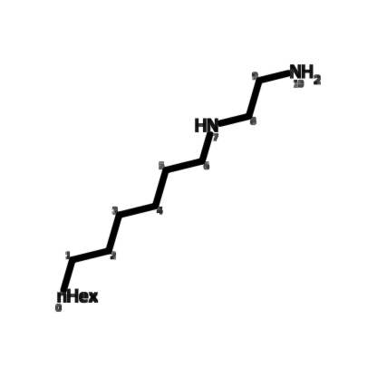 CCCCCCCCCCCCNCCN